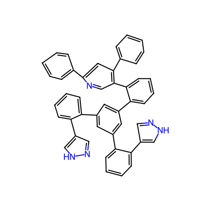 c1ccc(-c2cc(-c3ccccc3)c(-c3ccccc3-c3cc(-c4ccccc4-c4cn[nH]c4)cc(-c4ccccc4-c4cn[nH]c4)c3)cn2)cc1